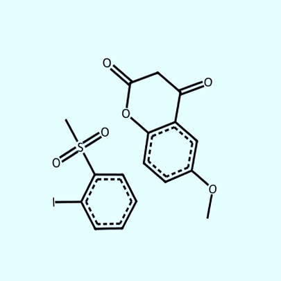 COc1ccc2c(c1)C(=O)CC(=O)O2.CS(=O)(=O)c1ccccc1I